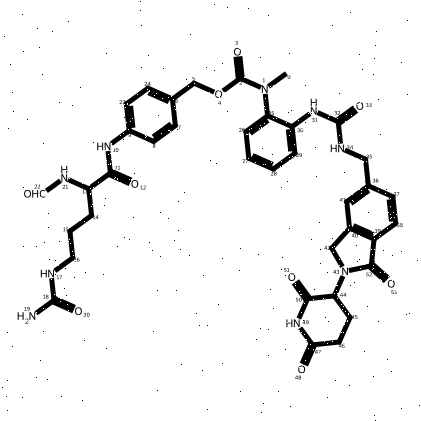 CN(C(=O)OCc1ccc(NC(=O)C(CCCNC(N)=O)NC=O)cc1)c1ccccc1NC(=O)NCc1ccc2c(c1)CN(C1CCC(=O)NC1=O)C2=O